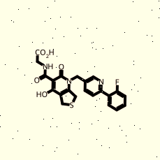 O=C(O)CNC(=O)c1c(O)c2c(n(Cc3ccc(-c4ccccc4F)nc3)c1=O)CSC2